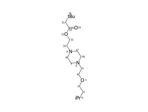 CC(C)CCOCCN1CCN(CCOC(=O)CC(C)(C)C)CC1